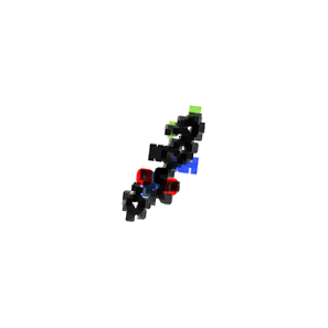 Cc1cn(Cc2ccccc2)c(=O)n(CCCNC2CCC(c3ccc(F)cc3F)CC2C#N)c1=O